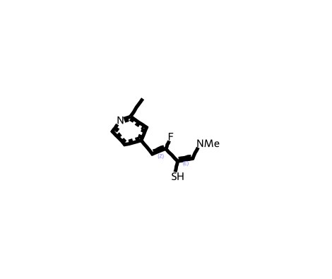 CN/C=C(S)\C(F)=C\c1ccnc(C)c1